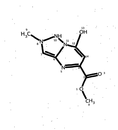 COC(=O)C1=NC2=CN(C)NN2C(O)=C1